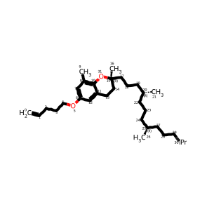 C=CCCCOc1cc(C)c2c(c1)CC[C@@](C)(CCC[C@H](C)CCC[C@H](C)CCCC(C)C)O2